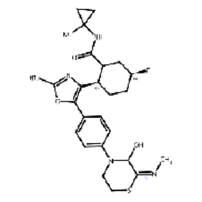 C/N=C1/SCCN(c2ccc(-c3oc(C(C)(C)C)nc3[C@@H]3CC[C@H](F)CC3C(=O)NC3(C#N)CC3)cc2)C1O